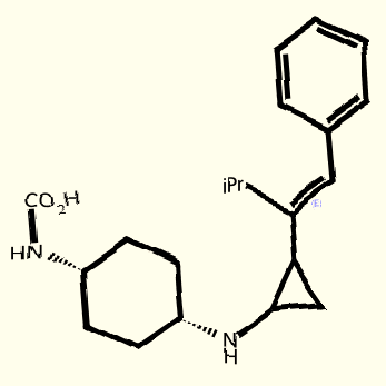 CC(C)/C(=C\c1ccccc1)C1CC1N[C@H]1CC[C@@H](NC(=O)O)CC1